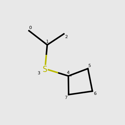 CC(C)S[C]1CCC1